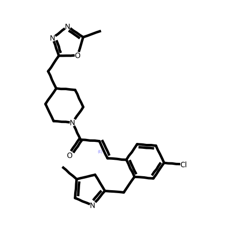 CC1=CN=C(Cc2cc(Cl)ccc2/C=C/C(=O)N2CCC(Cc3nnc(C)o3)CC2)C1